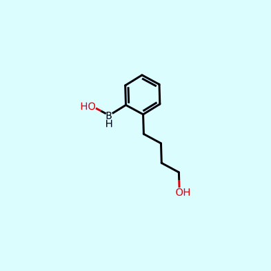 OBc1ccccc1CCCCO